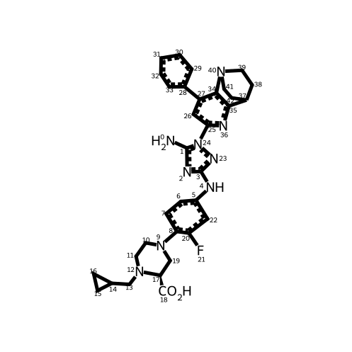 Nc1nc(Nc2ccc(N3CCN(CC4CC4)[C@H](C(=O)O)C3)c(F)c2)nn1-c1cc(-c2ccccc2)c2c(n1)C1CCN2CC1